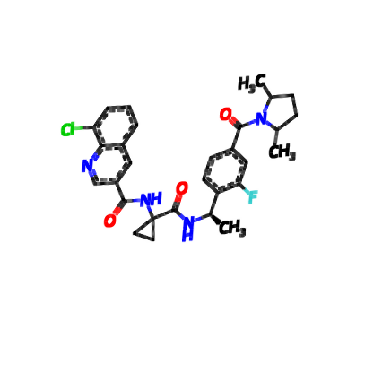 CC1CCC(C)N1C(=O)c1ccc([C@@H](C)NC(=O)C2(NC(=O)c3cnc4c(Cl)cccc4c3)CC2)c(F)c1